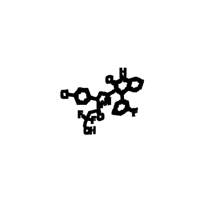 O=C(CC(F)(F)CO)N1N=C(c2c(-c3cccc(F)c3)c3ccccc3[nH]c2=O)CC1c1ccc(Cl)cc1